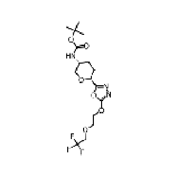 CC(C)(C)OC(=O)N[C@@H]1CC[C@@H](c2nnc(OCCOCC(F)(F)F)o2)OC1